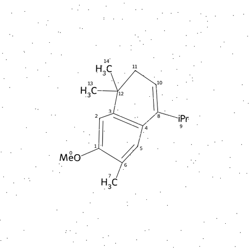 COc1cc2c(cc1C)C(C(C)C)=CCC2(C)C